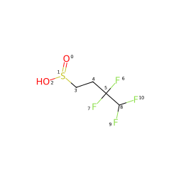 O=S(O)CCC(F)(F)C(F)F